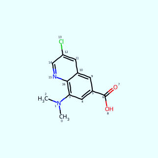 CN(C)c1cc(C(=O)O)cc2cc(Cl)cnc12